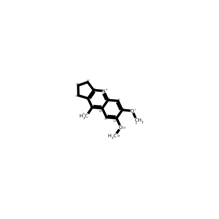 COc1cc2nc3c(c(C)c2cc1OC)CCC3